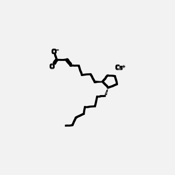 CCCCCCCC[C@H]1CCC[C@@H]1CCCCC=CC(=O)[O-].[Cs+]